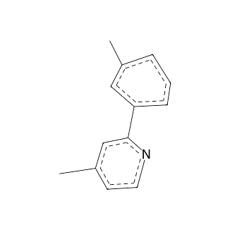 Cc1cccc(-c2cc(C)ccn2)c1